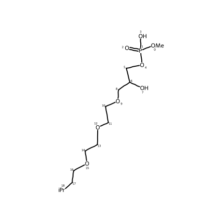 COP(=O)(O)OCC(O)COCCOCCOCCC(C)C